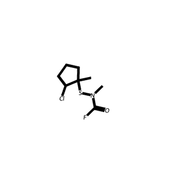 CN(SC1(C)CCCC1Cl)C(=O)F